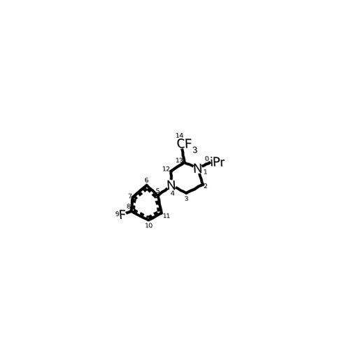 CC(C)N1CCN(c2ccc(F)cc2)CC1C(F)(F)F